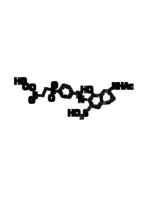 CC(=O)Nc1ccc2cc(S(=O)(=O)O)c(N=Nc3ccc(S(=O)(=O)CCS(=O)OOO)cc3)c(O)c2c1